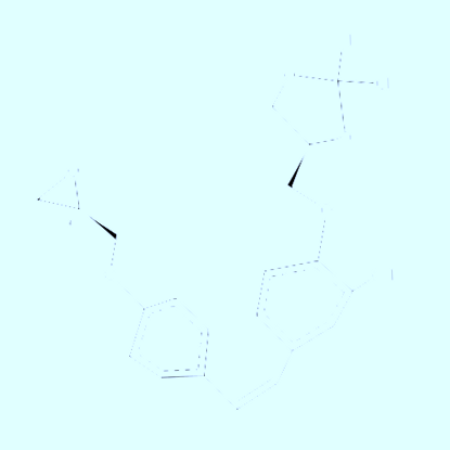 Cc1cc(/C=C\c2ccc(OC[C@H]3CO3)cc2)ccc1OC[C@H]1COC(C)(C)O1